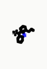 C=CCc1cccc2[c]([Sn]([CH3])([CH3])[CH3])c3ccccc3nc12